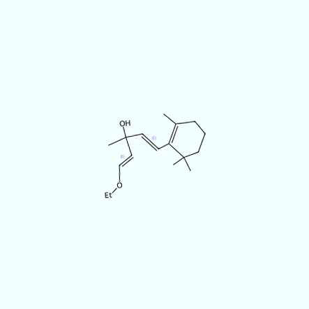 CCO/C=C/C(C)(O)/C=C/C1=C(C)CCCC1(C)C